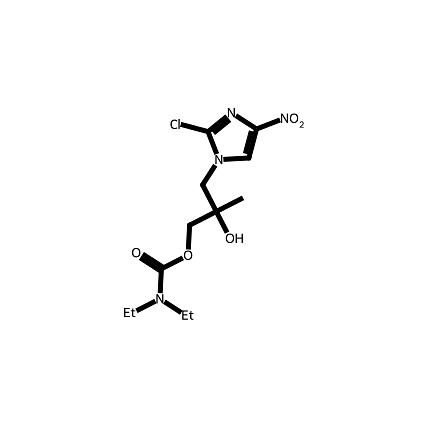 CCN(CC)C(=O)OCC(C)(O)Cn1cc([N+](=O)[O-])nc1Cl